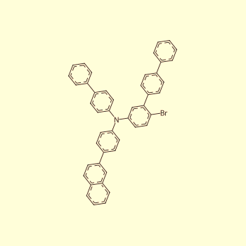 Brc1ccc(N(c2ccc(-c3ccccc3)cc2)c2ccc(-c3ccc4ccccc4c3)cc2)cc1-c1ccc(-c2ccccc2)cc1